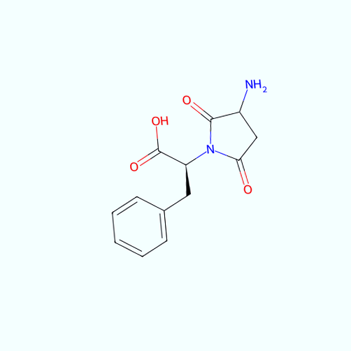 NC1CC(=O)N([C@@H](Cc2ccccc2)C(=O)O)C1=O